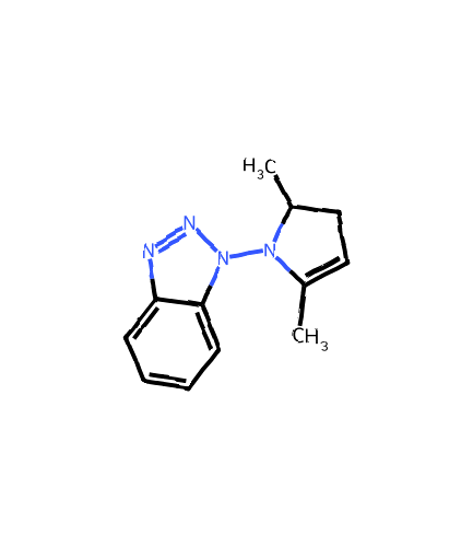 CC1=CCC(C)N1n1nnc2ccccc21